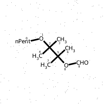 CCCCCOC(C)(C)C(C)(C)OC=O